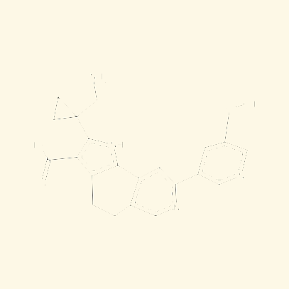 COc1cncc(-c2cc3c(cn2)CCc2c-3[nH]c(C3(CN)CC3)c2C(=O)O)c1